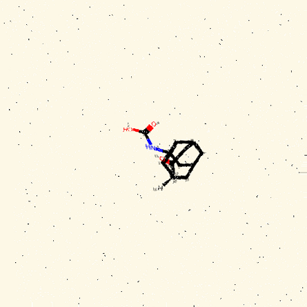 O=C(O)NC12CC3CC(C1)C(=O)[C@H](C3)C2